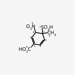 CC1(S(=O)(=O)O)C=CC(C(=O)O)=CC1[N+](=O)[O-]